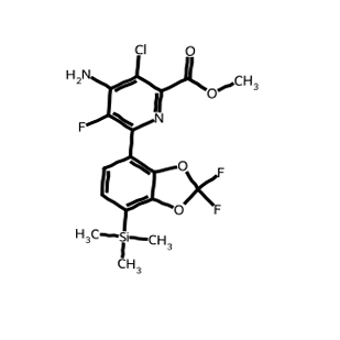 COC(=O)c1nc(-c2ccc([Si](C)(C)C)c3c2OC(F)(F)O3)c(F)c(N)c1Cl